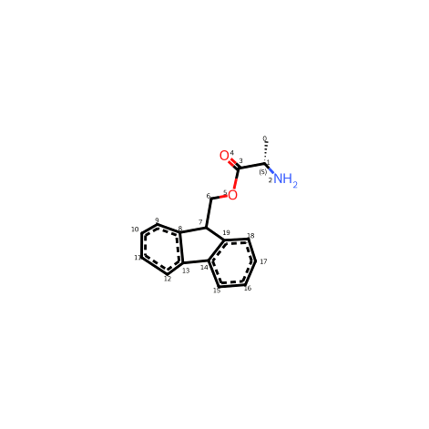 C[C@H](N)C(=O)OCC1c2ccccc2-c2ccccc21